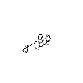 O=C(O)CC(Nc1cccnc1)S(=O)(=O)c1ccccc1OCCCCNN1CC=CNC1